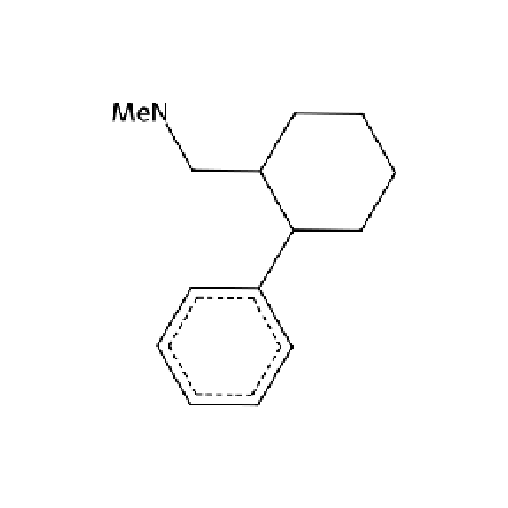 CNCC1CCCCC1c1ccccc1